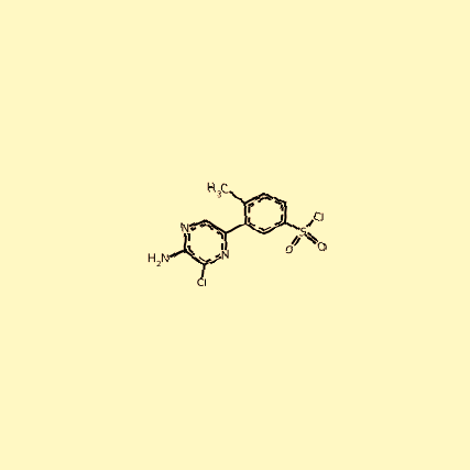 Cc1ccc(S(=O)(=O)Cl)cc1-c1cnc(N)c(Cl)n1